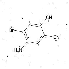 N#Cc1cc(N)c(Br)cc1C#N